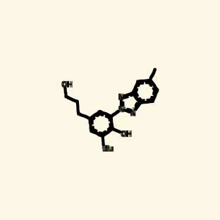 Cc1ccc2nn(-c3cc(CCCO)cc(C(C)(C)C)c3O)nc2c1